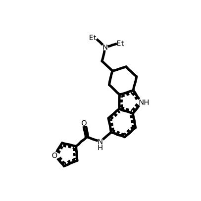 CCN(CC)CC1CCc2[nH]c3ccc(NC(=O)c4ccoc4)cc3c2C1